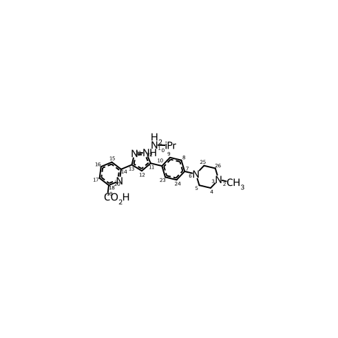 CC(C)N.CN1CCN(c2ccc(-c3cc(-c4cccc(C(=O)O)n4)n[nH]3)cc2)CC1